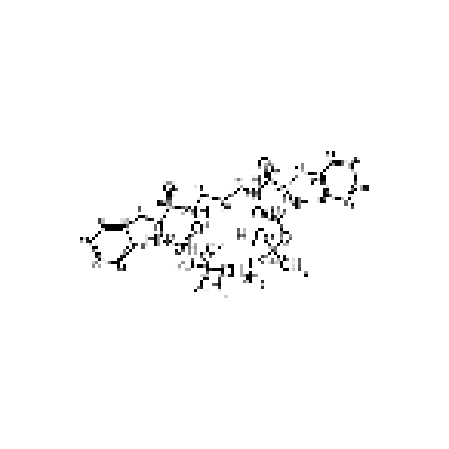 CC(C)(C)OC(=O)N[C@@H](Cc1ccccc1)C(=O)NCCCNC(=O)[C@H](Cc1ccccc1)NC(=O)OC(C)(C)C